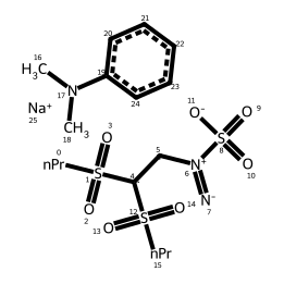 CCCS(=O)(=O)[C]([CH][N+](=[N-])S(=O)(=O)[O-])S(=O)(=O)CCC.CN(C)c1ccccc1.[Na+]